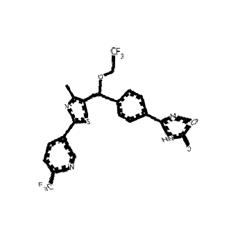 Cc1nc(-c2ccc(C(F)(F)F)nc2)sc1C(OCC(F)(F)F)c1ccc(-c2noc(=O)[nH]2)cc1